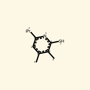 Cc1cc(C(C)C)nc(S)c1C